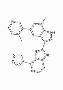 Cc1ccncc1-c1cc(F)c2[nH]nc(-c3nc4c(-c5ccsc5)nccc4[nH]3)c2c1